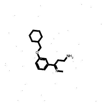 C/N=C(\CCN)c1cccc(OCC2CCCCC2)c1